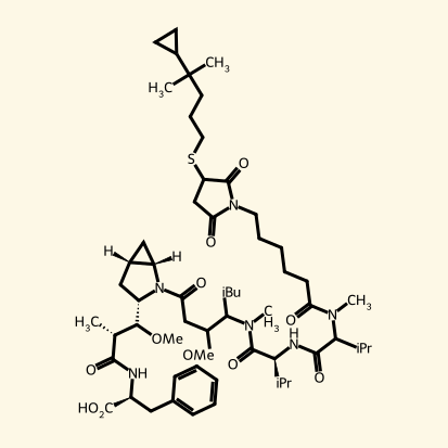 CCC(C)C(C(CC(=O)N1[C@H](C(OC)[C@@H](C)C(=O)N[C@@H](Cc2ccccc2)C(=O)O)C[C@@H]2C[C@@H]21)OC)N(C)C(=O)[C@@H](NC(=O)C(C(C)C)N(C)C(=O)CCCCCN1C(=O)CC(SCCCC(C)(C)C2CC2)C1=O)C(C)C